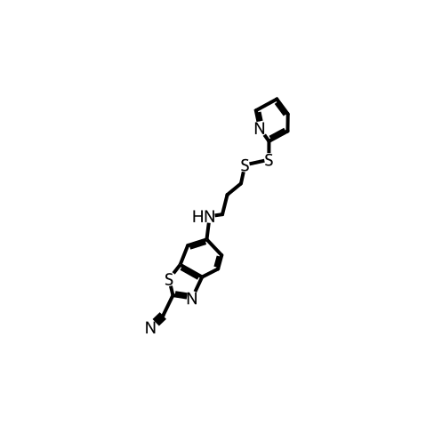 N#Cc1nc2ccc(NCCCSSc3ccccn3)cc2s1